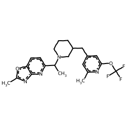 Cc1cc(CC2CCCN(C(C)c3ccc4oc(C)nc4n3)C2)cc(OC(F)(F)F)n1